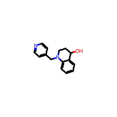 OC1CCN(Cc2ccncc2)c2ccccc21